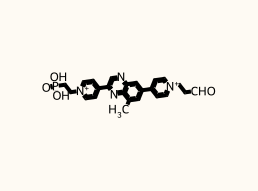 Cc1cc(-c2cc[n+](CCC=O)cc2)cc2ncc(-c3cc[n+](CCP(=O)(O)O)cc3)nc12